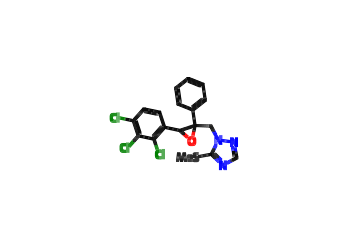 CSc1ncnn1CC1(c2ccccc2)OC1c1ccc(Cl)c(Cl)c1Cl